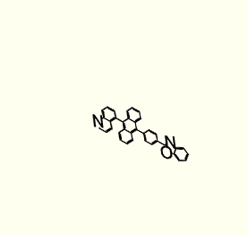 c1ccc2oc(-c3ccc(-c4c5ccccc5c(-c5cccc6ncccc56)c5ccccc45)cc3)nc2c1